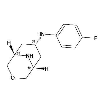 Fc1ccc(N[C@H]2C[C@H]3COC[C@@H](C2)N3)cc1